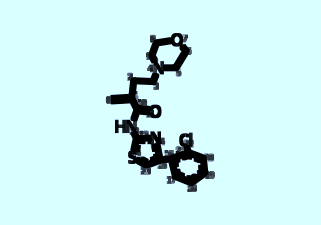 C=C(CCN1CCOCC1)C(=O)Nc1nc(-c2ccccc2Cl)cs1